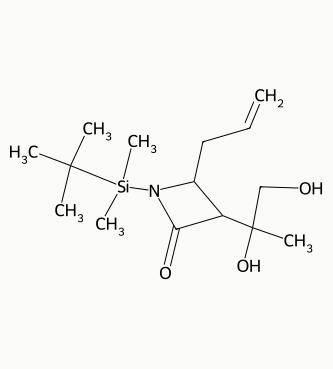 C=CCC1C(C(C)(O)CO)C(=O)N1[Si](C)(C)C(C)(C)C